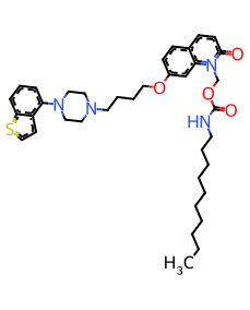 CCCCCCCCCCNC(=O)OCn1c(=O)ccc2ccc(OCCCCN3CCN(c4cccc5sccc45)CC3)cc21